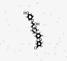 Oc1ccc(OC[C@@H](O)CN2CCN(c3ccc(Oc4ccc(Cl)cc4)cc3)CC2)cc1